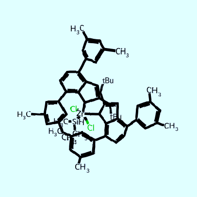 Cc1cc(C)cc(-c2ccc(-c3cc(C)cc(C)c3)c3c2C=C(CC(C)(C)C)[CH]3[Zr]([Cl])([Cl])([CH]2C(CC(C)(C)C)=Cc3c(-c4cc(C)cc(C)c4)ccc(-c4cc(C)cc(C)c4)c32)[SiH](C)C)c1